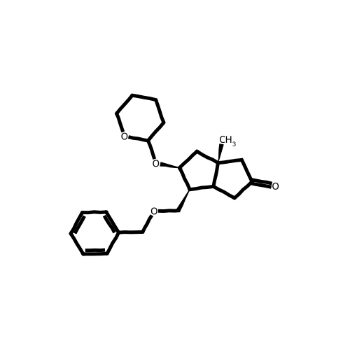 C[C@@]12CC(=O)CC1[C@@H](COCc1ccccc1)[C@@H](OC1CCCCO1)C2